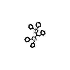 C(=C(C1=NN(c2ccccc2)C(c2ccccc2)C1)C1=NN(c2ccccc2)C(c2ccccc2)C1)c1ccccc1